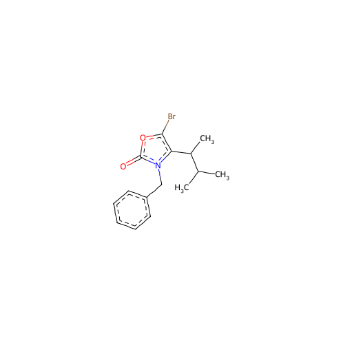 CC(C)C(C)c1c(Br)oc(=O)n1Cc1ccccc1